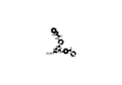 CC(=O)Nc1cn2c(Nc3ccc(C(=O)N4CCOCC4)cc3)nc(N3CCCC(NC(=O)c4cc5ccccc5[nH]4)C3)nc2n1